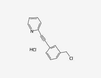 Cl.ClCc1cccc(C#Cc2ccccn2)c1